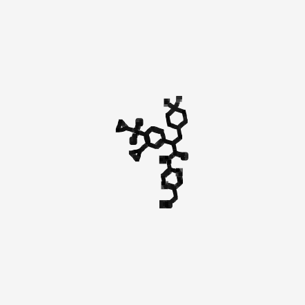 O=C(Nc1cnc(CO)cn1)C(CC1CCC(F)(F)CC1)c1ccc(S(=O)(=O)C2CC2)c(C2CC2)c1